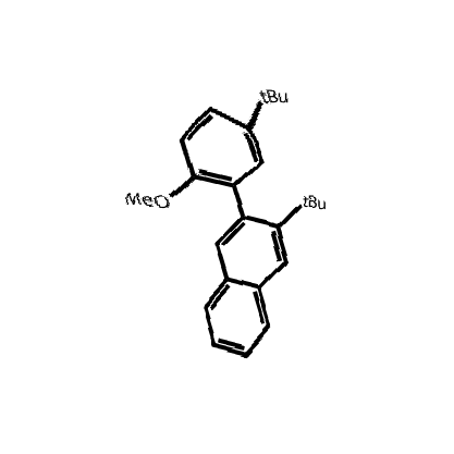 COc1ccc(C(C)(C)C)cc1-c1cc2ccccc2cc1C(C)(C)C